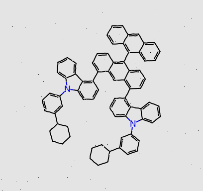 c1cc(C2CCCCC2)cc(-n2c3ccccc3c3c(-c4cccc5c(-c6c7ccccc7cc7ccccc67)c6cccc(-c7cccc8c7c7ccccc7n8-c7cccc(C8CCCCC8)c7)c6cc45)cccc32)c1